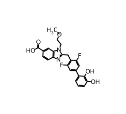 COCCn1c(Cc2c(F)cc(-c3cccc(O)c3O)cc2F)nc2ccc(C(=O)O)cc21